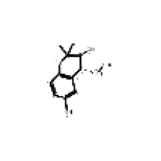 CC1(C)Oc2ccc(C#N)cc2[C@@H](NC=O)[C@@H]1O